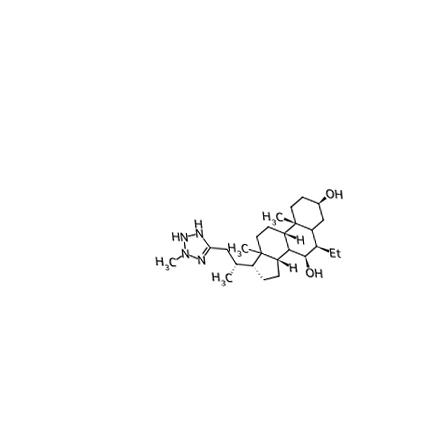 CC[C@@H]1C2C[C@H](O)CC[C@@]2(C)[C@H]2CCC3(C)[C@@H]([C@H](C)CC4=NN(C)NN4)CC[C@H]3C2[C@@H]1O